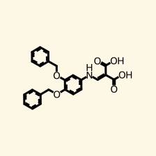 O=C(O)C(=CNc1ccc(OCc2ccccc2)c(OCc2ccccc2)c1)C(=O)O